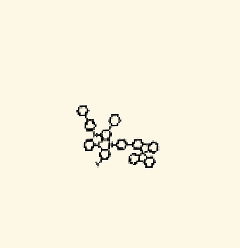 CC(C)c1ccc2c(c1)B1c3ccccc3N(c3ccc(-c4ccccc4)cc3)c3cc(C4CCCCC4)cc(c31)N2c1ccc(-c2ccc3c(c2)C2(c4ccccc4-c4ccccc42)c2ccccc2-3)cc1